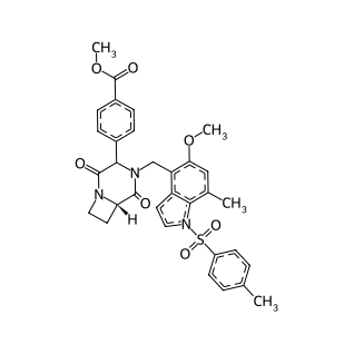 COC(=O)c1ccc(C2C(=O)N3CC[C@H]3C(=O)N2Cc2c(OC)cc(C)c3c2ccn3S(=O)(=O)c2ccc(C)cc2)cc1